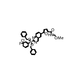 COCNC(=O)c1ccc(-c2ccc3nc([N+](OCc4ccccc4)(OCc4ccccc4)C4=CC(F)(Cl)CC=C4)ncc3c2)o1